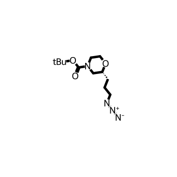 CC(C)(C)OC(=O)N1CCO[C@H](CCCN=[N+]=[N-])C1